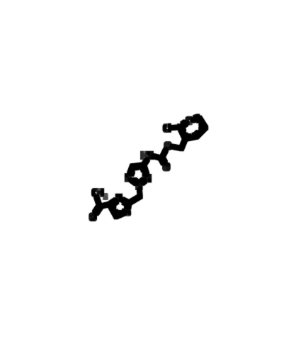 CC(=O)c1csc(Cn2ncc(NC(=O)OCc3ccccc3Cl)n2)n1